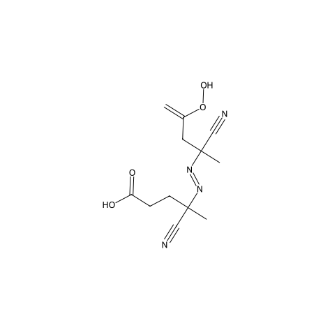 C=C(CC(C)(C#N)N=NC(C)(C#N)CCC(=O)O)OO